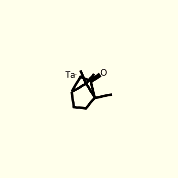 CC12CCC(CC1=O)C2(C)C.[Ta]